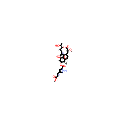 COC(=O)/C=C/c1c[nH]c(C(=O)O[C@@H]2[C@H](C)[C@@H](O)[C@@H]3[C@H]4C=CC5C[C@H](OC)C(=O)O[C@H](C(C)O)[C@H](C)/C=C(\C)[C@]53O[C@H]42)c1